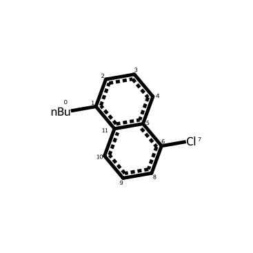 [CH2]CCCc1cccc2c(Cl)cccc12